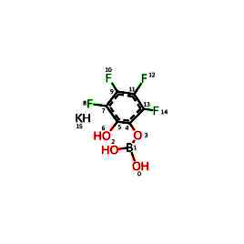 OB(O)Oc1c(O)c(F)c(F)c(F)c1F.[KH]